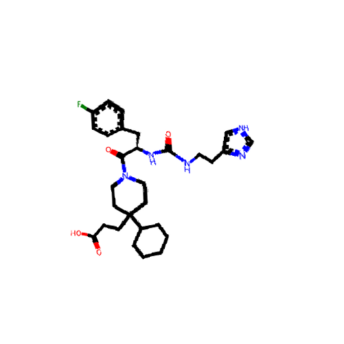 O=C(O)CCC1(C2CCCCC2)CCN(C(=O)[C@@H](Cc2ccc(F)cc2)NC(=O)NCCc2c[nH]cn2)CC1